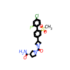 CS(=O)(=O)c1cc(C2CN(C(=O)N3CC[C@H](C(N)=O)C3)C2)ccc1-c1ccc(Cl)cc1F